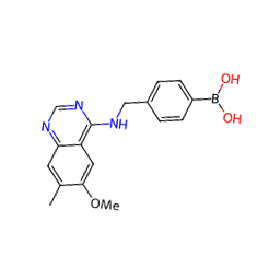 COc1cc2c(NCc3ccc(B(O)O)cc3)ncnc2cc1C